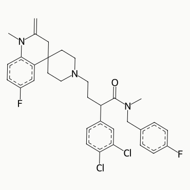 C=C1CC2(CCN(CCC(C(=O)N(C)Cc3ccc(F)cc3)c3ccc(Cl)c(Cl)c3)CC2)c2cc(F)ccc2N1C